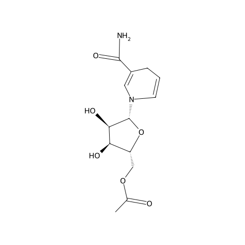 CC(=O)OC[C@H]1O[C@@H](N2C=CCC(C(N)=O)=C2)[C@H](O)[C@@H]1O